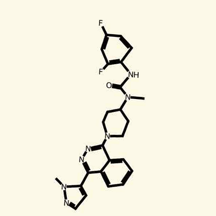 CN(C(=O)Nc1ccc(F)cc1F)C1CCN(c2nnc(-c3ccnn3C)c3ccccc23)CC1